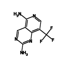 Nc1ncc2c(N)ncc(C(F)(F)F)c2n1